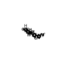 CN(C)Cc1cccc(-c2cc(F)c(NC(=O)N3[C@H]4CC[C@@H]3c3n[nH]c(=O)cc3C4)cc2Cl)c1